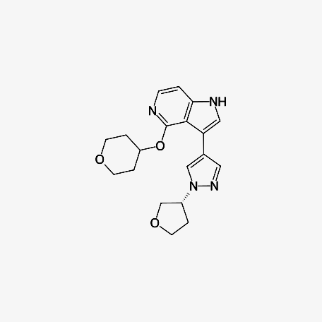 c1cc2[nH]cc(-c3cnn([C@@H]4CCOC4)c3)c2c(OC2CCOCC2)n1